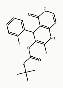 CC1=C(OC(=O)OC(C)(C)C)C(c2ccccc2F)c2c(cc[nH]c2=O)N1